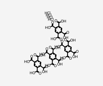 Cl.Cl.Cl.Cl.O=C(O)c1cc(C(=O)O)c(C(=O)O)cc1C(=O)O.O=C(O)c1cc(C(=O)O)c(C(=O)O)cc1C(=O)O.O=C(O)c1cc(C(=O)O)c(C(=O)O)cc1C(=O)O.O=C(O)c1cc(C(=O)O)c(C(=O)O)cc1C(=O)O